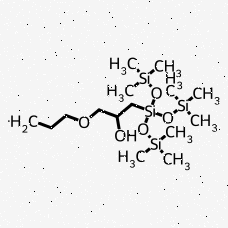 [CH2]CCOCC(O)C[Si](O[Si](C)(C)C)(O[Si](C)(C)C)O[Si](C)(C)C